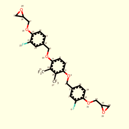 Fc1cc(COc2ccc(OCc3ccc(OCC4CO4)c(F)c3)c(C(F)(F)F)c2C(F)(F)F)ccc1OCC1CO1